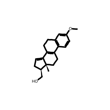 COc1ccc2c(c1)CCC1=C2CC[C@@]2(C)C1=CC[C@@H]2CO